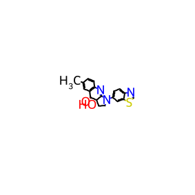 Cc1ccc2c(c1)C(=O)C1(O)CCN(c3ccc4ncsc4c3)C1=N2